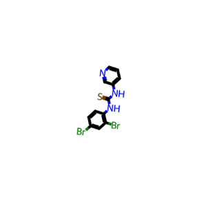 S=C(Nc1cccnc1)Nc1ccc(Br)cc1Br